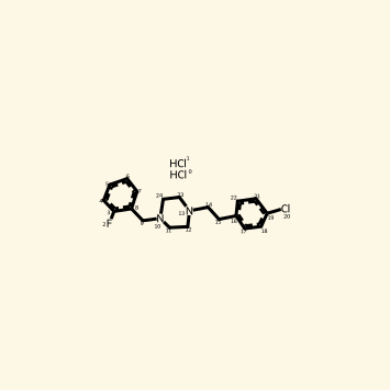 Cl.Cl.Fc1ccccc1CN1CCN(CCc2ccc(Cl)cc2)CC1